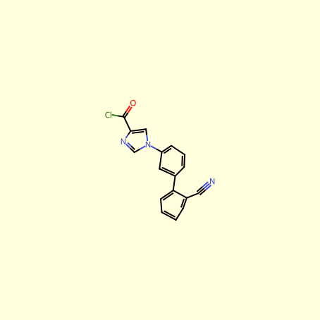 N#Cc1ccccc1-c1cccc(-n2cnc(C(=O)Cl)c2)c1